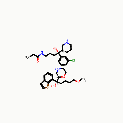 CCC(=O)NCCC[C@@](O)(c1cccc(Cl)c1)[C@@H]1CCCNC1.COCCCC[C@@](O)(c1cccc2ccsc12)[C@H]1CNCCO1